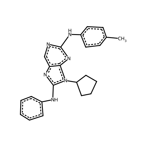 Cc1ccc(Nc2ncc3nc(Nc4ccccc4)n(C4CCCC4)c3n2)cc1